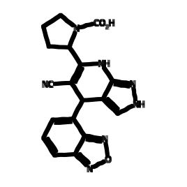 N#CC1=C(C2CCCN2C(=O)O)Nc2n[nH]cc2C1c1cccc2nonc12